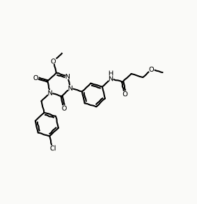 COCCC(=O)Nc1cccc(-n2nc(OC)c(=O)n(Cc3ccc(Cl)cc3)c2=O)c1